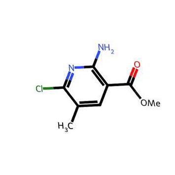 COC(=O)c1cc(C)c(Cl)nc1N